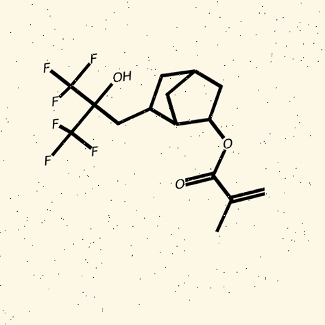 C=C(C)C(=O)OC1CC2CC(CC(O)(C(F)(F)F)C(F)(F)F)C1C2